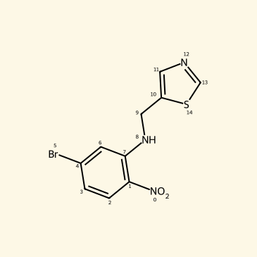 O=[N+]([O-])c1ccc(Br)cc1NCc1cncs1